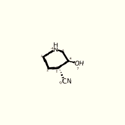 N#C[C@@H]1CCNC[C@H]1O